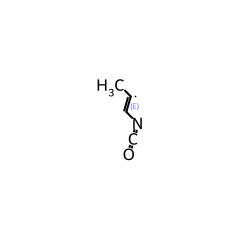 C/[C]=C/N=C=O